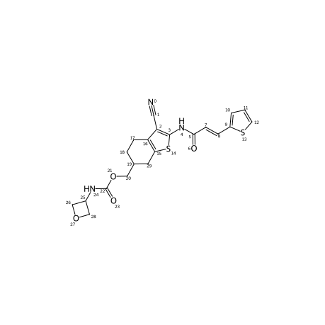 N#Cc1c(NC(=O)C=Cc2cccs2)sc2c1CCC(COC(=O)NC1COC1)C2